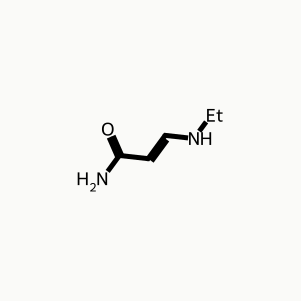 CCNC=CC(N)=O